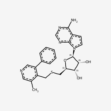 Cc1cncc(-c2ccccc2)c1CSC[C@H]1O[C@@H](n2ccc3c(N)ncnc32)[C@H](O)[C@@H]1O